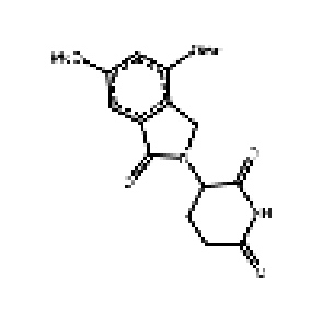 COc1cc(OC)c2c(c1)C(=O)N(C1CCC(=O)NC1=O)C2